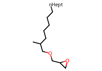 CCCCCCCCCCCCC(C)COCC1CO1